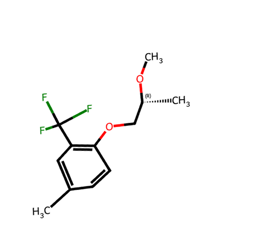 CO[C@H](C)COc1ccc(C)cc1C(F)(F)F